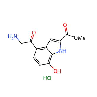 COC(=O)c1cc2c(C(=O)CN)ccc(O)c2[nH]1.Cl